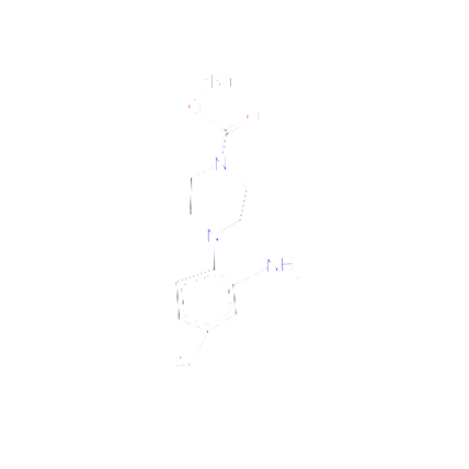 CC(=O)c1ccc(N2CCN(C(=O)OC(C)(C)C)CC2)c(N)c1